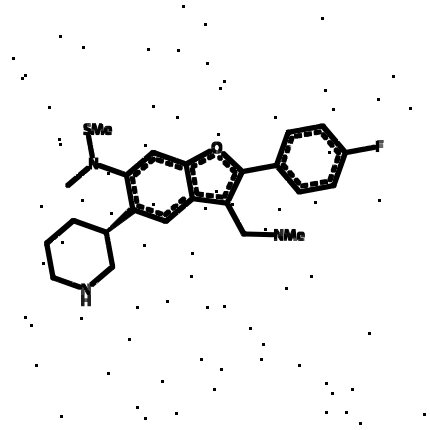 CNCc1c(-c2ccc(F)cc2)oc2cc(N(C)SC)c([C@@H]3CCCNC3)cc12